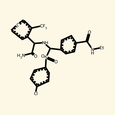 CCNC(=O)c1ccc(C(NC(C(N)=O)c2ccccc2C(F)(F)F)S(=O)(=O)c2ccc(Cl)cc2)cc1